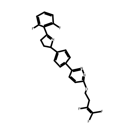 FC(F)=C(F)CCOc1ccc(-c2ccc(C3CCC(c4c(F)cccc4F)=N3)cc2)nn1